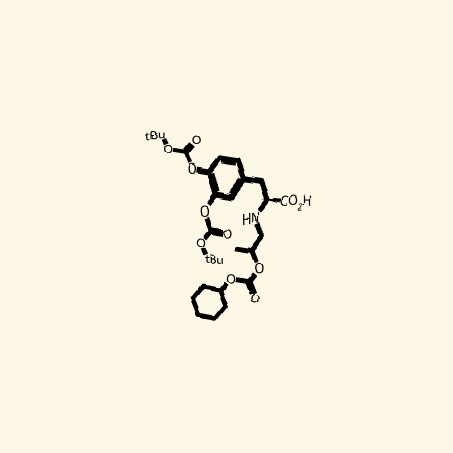 CC(CN[C@@H](Cc1ccc(OC(=O)OC(C)(C)C)c(OC(=O)OC(C)(C)C)c1)C(=O)O)OC(=O)OC1CCCCC1